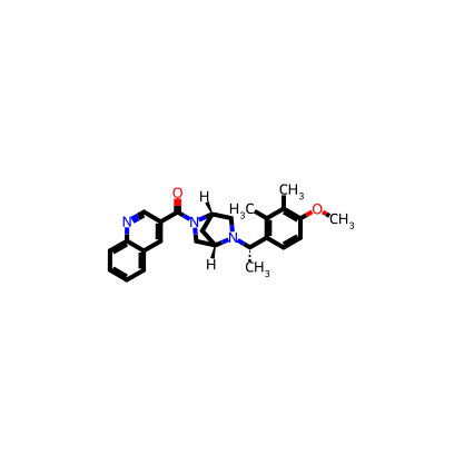 COc1ccc([C@H](C)N2C[C@@H]3C[C@H]2CN3C(=O)c2cnc3ccccc3c2)c(C)c1C